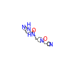 O=C(NCC1CC12CCN(C(=O)Cc1ccncc1)CC2)C1CC=C2C=NC=C2N1